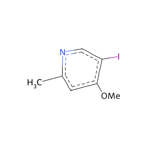 COc1cc(C)ncc1I